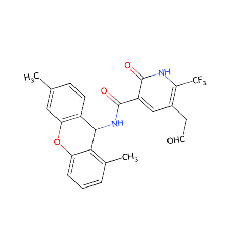 Cc1ccc2c(c1)Oc1cccc(C)c1C2NC(=O)c1cc(CC=O)c(C(F)(F)F)[nH]c1=O